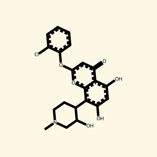 CN1CCC(c2c(O)cc(O)c3c(=O)cc(Oc4ccccc4Cl)oc23)C(O)C1